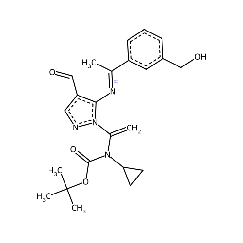 C=C(N(C(=O)OC(C)(C)C)C1CC1)n1ncc(C=O)c1/N=C(\C)c1cccc(CO)c1